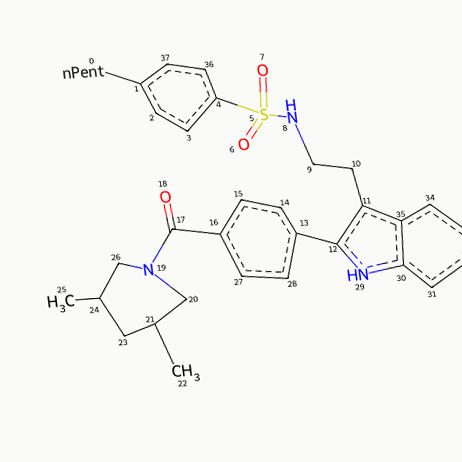 CCCCCc1ccc(S(=O)(=O)NCCc2c(-c3ccc(C(=O)N4CC(C)CC(C)C4)cc3)[nH]c3ccccc23)cc1